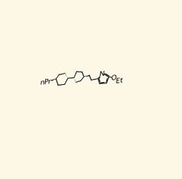 CCC[C@H]1CC[C@H]([C@H]2CC[C@H](CCc3ccc(OCC)cn3)CC2)CC1